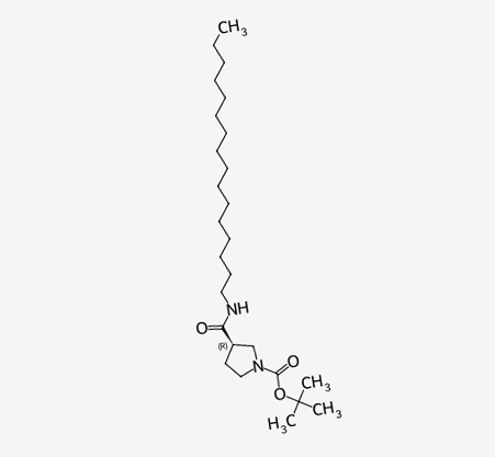 CCCCCCCCCCCCCCCCNC(=O)[C@@H]1CCN(C(=O)OC(C)(C)C)C1